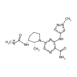 CNC(=O)N[C@@H]1CCCN(c2cnc(C(N)=O)c(Nc3cnn(C)c3)n2)[C@@H]1C